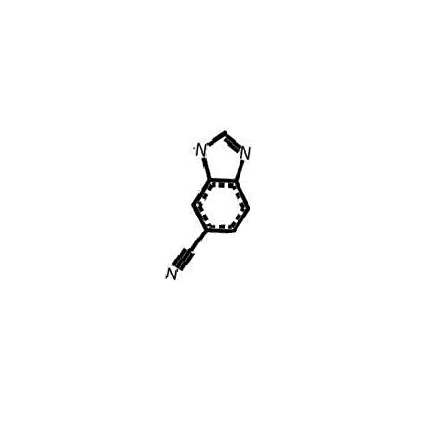 N#Cc1ccc2c(c1)[N]C=N2